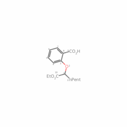 CCCCCC(Oc1ccccc1C(=O)O)C(=O)OCC